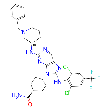 NC(=O)[C@H]1CC[C@H](n2c(Nc3c(Cl)cc(C(F)(F)F)cc3Cl)nc3cnc(N[C@@H]4CCCN(Cc5ccccc5)C4)nc32)CC1